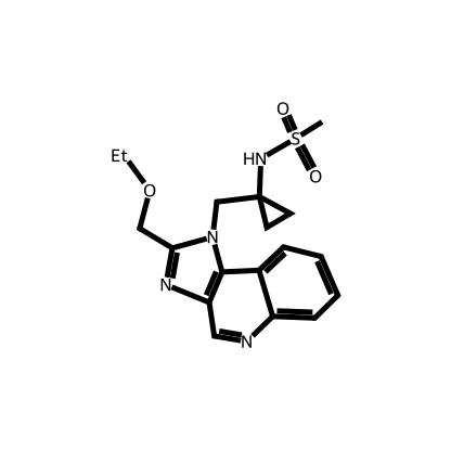 CCOCc1nc2cnc3ccccc3c2n1CC1(NS(C)(=O)=O)CC1